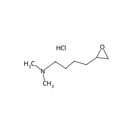 CN(C)CCCCC1CO1.Cl